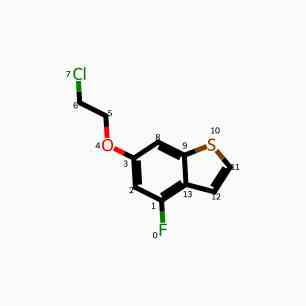 Fc1cc(OCCCl)cc2sccc12